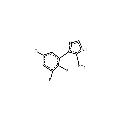 Nc1[nH]cnc1-c1cc(F)cc(F)c1F